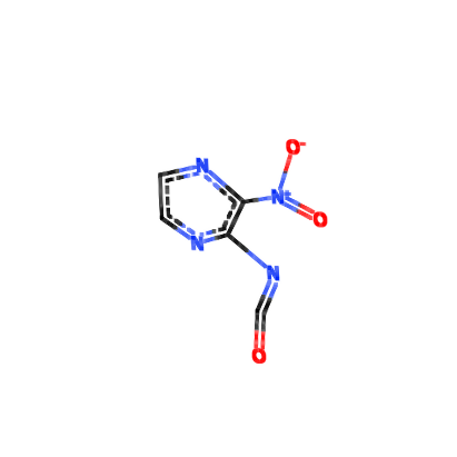 O=C=Nc1nccnc1[N+](=O)[O-]